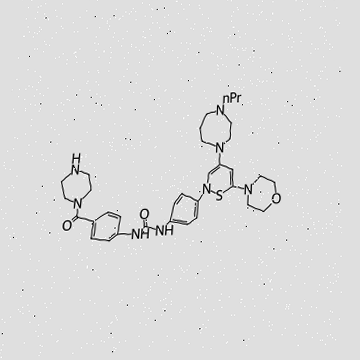 CCCN1CCCN(C2=CN(c3ccc(NC(=O)Nc4ccc(C(=O)N5CCNCC5)cc4)cc3)SC(N3CCOCC3)=C2)CC1